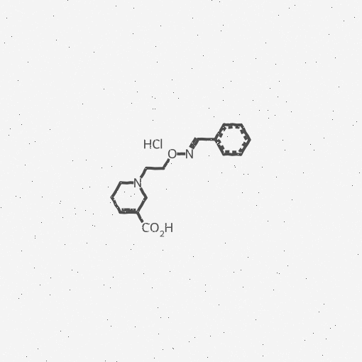 Cl.O=C(O)C1=CCCN(CCO/N=C/c2ccccc2)C1